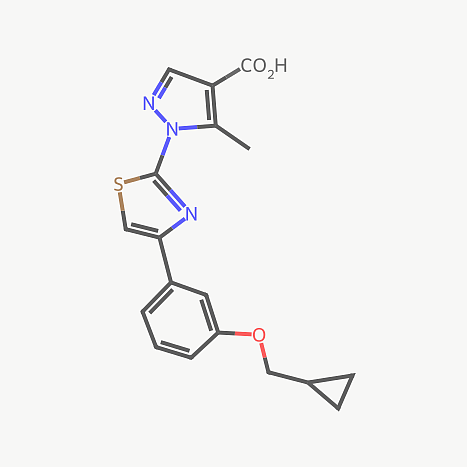 Cc1c(C(=O)O)cnn1-c1nc(-c2cccc(OCC3CC3)c2)cs1